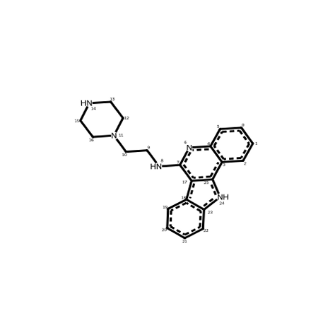 c1ccc2c(c1)nc(NCCN1CCNCC1)c1c3ccccc3[nH]c21